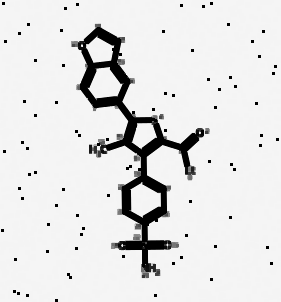 CCC(=O)c1sc(-c2ccc3occc3c2)c(C)c1-c1ccc(S(N)(=O)=O)cc1